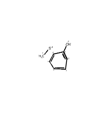 Oc1ccccc1.[CH3][Ti]